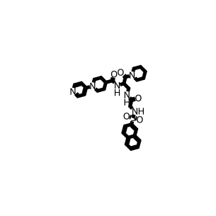 O=C(CNS(=O)(=O)c1ccc2ccccc2c1)NCC(NC(=O)C1CCN(c2ccncc2)CC1)C(=O)N1CCCCC1